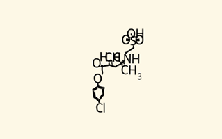 CC(CC(C)(C)NCCS(=O)(=O)O)C(=O)COc1ccc(Cl)cc1